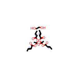 C/C=C/C(=O)OC(C)(OC(=O)/C=C/C)OC(C)(OC(=O)/C=C/C)OC(=O)/C=C/C.OCCO